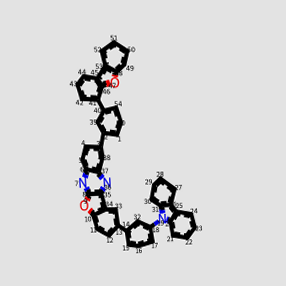 c1cc(-c2ccc3nc4oc5ccc(-c6cccc(-n7c8ccccc8c8ccccc87)c6)cc5c4nc3c2)cc(-c2cccc3c2oc2ccccc23)c1